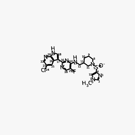 Cn1cnc([S+]([O-])N2CCCC(CNc3nc(-c4c[nH]c5ncc(Cl)cc45)ncc3F)C2)c1